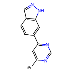 CC(C)c1cc(-c2ccc3cn[nH]c3c2)ncn1